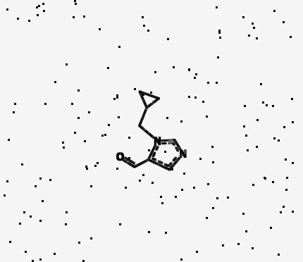 O=Cc1cncn1CC1CC1